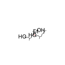 CC(C)=CCCC(C)CCO.CC(C)=CCCC(C)CCO.CCO